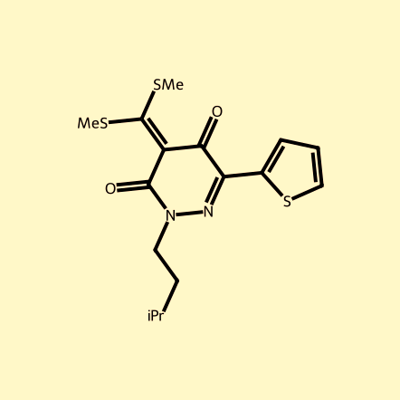 CSC(SC)=C1C(=O)C(c2cccs2)=NN(CCC(C)C)C1=O